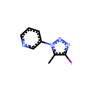 Cc1c(I)nnn1-c1cccnc1